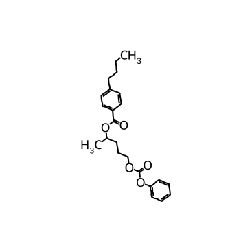 CCCCc1ccc(C(=O)OC(C)CCCOC(=O)Oc2ccccc2)cc1